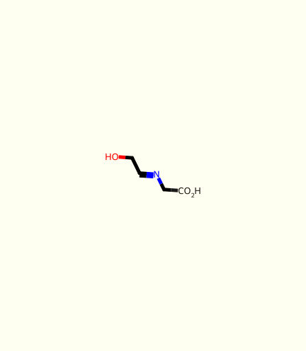 O=C(O)CN=CCO